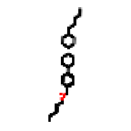 C=CCCC[C@H]1CC[C@H](C2CCC(c3ccc(COCC=CCC)cc3)CC2)CC1